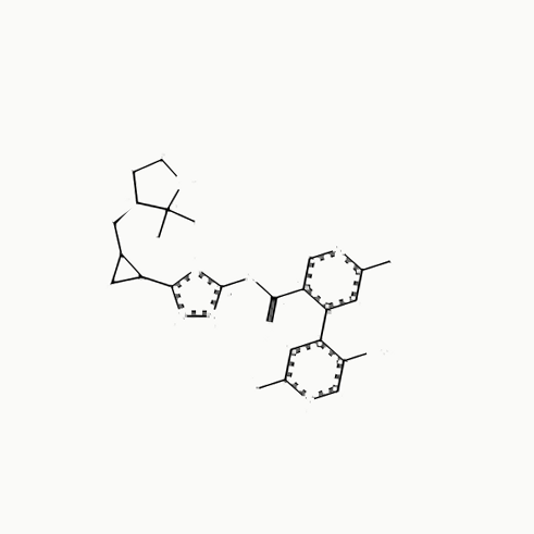 COc1cnc(Cl)cc1-c1cc(C)ncc1C(=O)Nc1nnc(C2CC2C[C@H]2CCOC2(C)C)s1